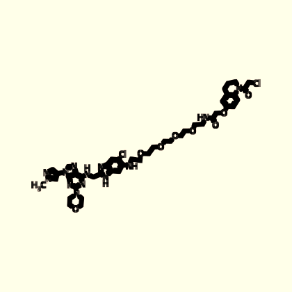 Cn1cc(-n2cnc3c(NCc4nc5cc(Cl)c(NCCOCCOCCOCCOCCNC(=O)COc6ccc7c(c6)CCCN7C(=O)CCl)cc5[nH]4)nc(N4CCOCC4)nc32)cn1